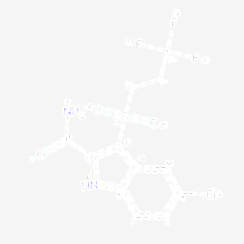 NC(=O)c1[nH]c2ccc(Cl)cc2c1S(=O)(=O)CCC(F)(F)F